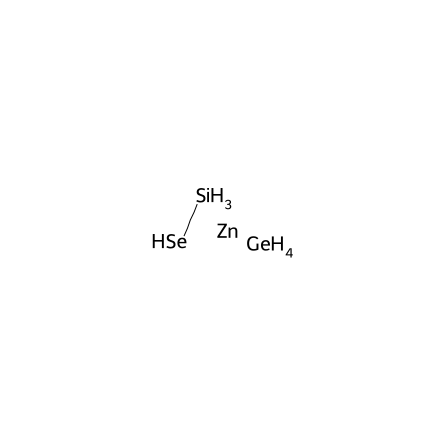 [GeH4].[SiH3][SeH].[Zn]